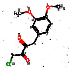 COc1ccc(CC(=O)C(=O)CCl)cc1OC